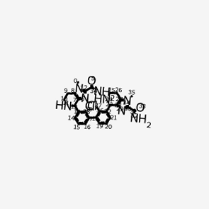 Cn1c(C(N)=O)nc2c1CCNC2c1cccc(-c2cccc(C3NCCc4c3nc(C(N)=O)n4C)c2Cl)c1Cl